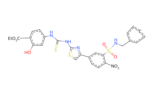 CCOC(=O)c1ccc(NC(=S)Nc2nc(-c3ccc([N+](=O)[O-])c(S(=O)(=O)NCc4ccccc4)c3)cs2)cc1O